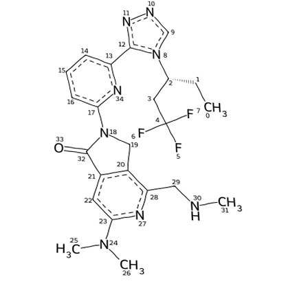 CC[C@H](CC(F)(F)F)n1cnnc1-c1cccc(N2Cc3c(cc(N(C)C)nc3CNC)C2=O)n1